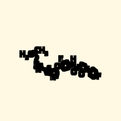 CN(C)CCn1cnc(-c2cc3nccc(Oc4ccc(NC(=O)N5CCN(c6ccc(F)cc6)C5=O)cc4F)c3s2)c1